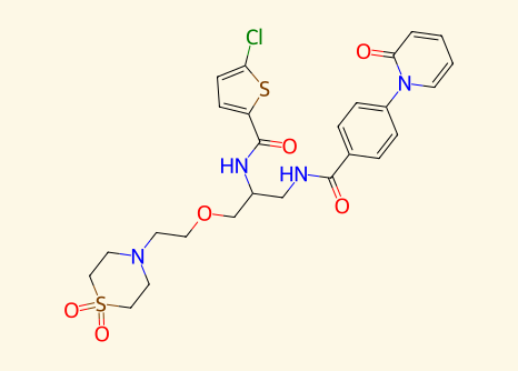 O=C(NCC(COCCN1CCS(=O)(=O)CC1)NC(=O)c1ccc(Cl)s1)c1ccc(-n2ccccc2=O)cc1